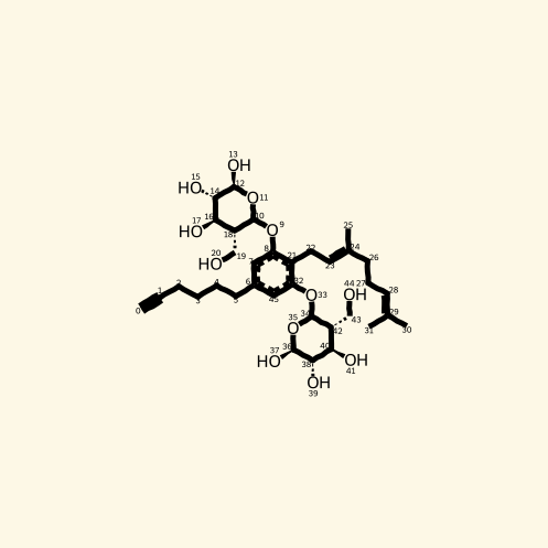 C#CCCCCc1cc(OC2O[C@H](O)[C@@H](O)[C@H](O)[C@H]2CO)c(C/C=C(\C)CCC=C(C)C)c(OC2O[C@H](O)[C@@H](O)[C@H](O)[C@H]2CO)c1